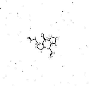 C=CCN1CCCC1C(=O)C1CCCN1CC=C